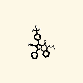 Cn1c(=O)c2c(-c3ccc(C(F)(F)F)cc3)c(C#N)c(-c3ccccc3)n2c2ccccc21